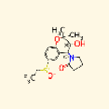 CC1(C)Oc2ccc([S+]([O-])CC(F)(F)F)cc2[C@H](N2CCCC2=O)[C@H]1O